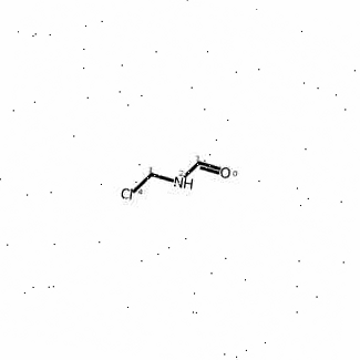 O=CNCCl